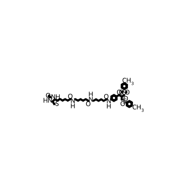 Cc1ccc(S(=O)(=O)CC(CS(=O)(=O)c2ccc(C)cc2)C(=O)c2ccc(NC(=O)CCCCCNC(=O)CCCCCNC(=O)CCCCC3SCC4NC(=O)NC43)cc2)cc1